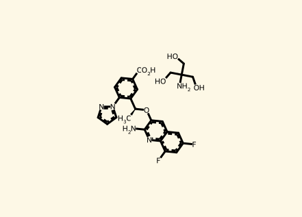 C[C@H](Oc1cc2cc(F)cc(F)c2nc1N)c1cc(C(=O)O)ccc1-n1cccn1.NC(CO)(CO)CO